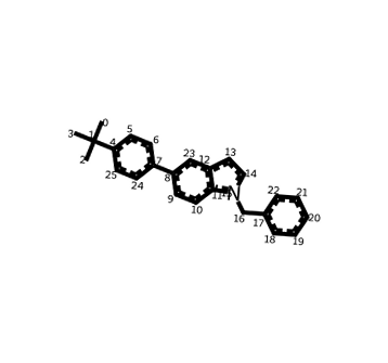 CC(C)(C)c1ccc(-c2ccc3c(ccn3Cc3ccccc3)c2)cc1